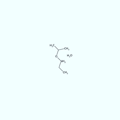 CC[SiH2]OC(C)C.O